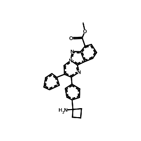 COC(=O)c1cccc2c1nn1cc(-c3ccccc3)c(-c3ccc(C4(N)CCC4)cc3)nc21